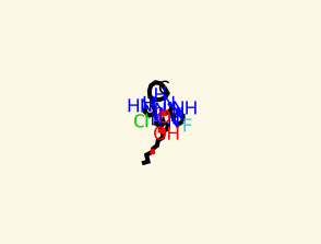 CCCCCCCCCCCN1CC(F)CN2NC(N)C(C(=O)NC3C(C4CCCCCCCCC4)NCC(Cl)C3N3CCC(O)C3)C12